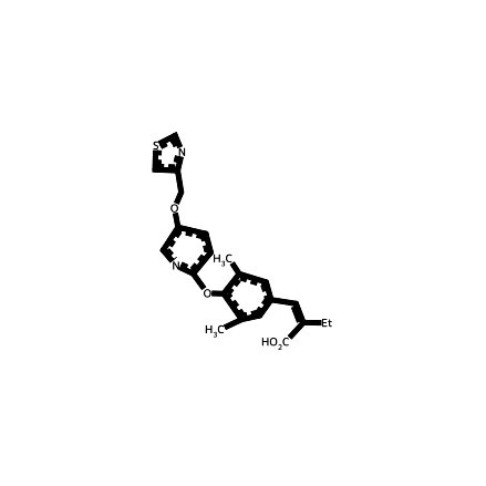 CCC(=Cc1cc(C)c(Oc2ccc(OCc3cscn3)cn2)c(C)c1)C(=O)O